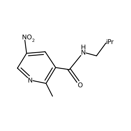 Cc1ncc([N+](=O)[O-])cc1C(=O)NCC(C)C